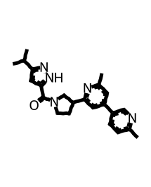 Cc1ccc(-c2cc(C)nc(C3CCN(C(=O)c4cc(C(C)C)n[nH]4)C3)c2)cn1